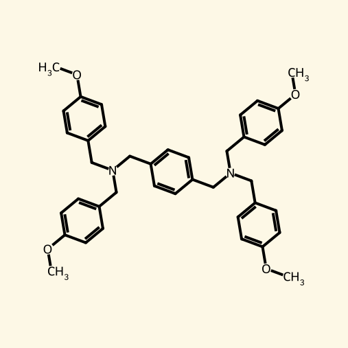 COc1ccc(CN(Cc2ccc(CN(Cc3ccc(OC)cc3)Cc3ccc(OC)cc3)cc2)Cc2ccc(OC)cc2)cc1